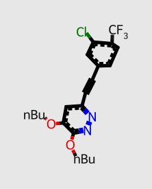 CCCCOc1cc(C#Cc2ccc(C(F)(F)F)c(Cl)c2)nnc1OCCCC